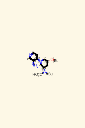 CCO[C@@H]1C[C@H](N(C(=O)O)C(C)(C)C)CN(c2ccncc2N)C1